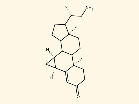 C[C@H](CN)C1CCC2C3C(CC[C@@]21C)[C@@]1(C)CCC(=O)C=C1[C@H]1C[C@@H]31